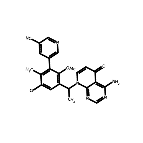 COc1c(C(C)n2ccc(=O)c3c(N)ncnc32)cc(Cl)c(C)c1-c1cncc(C#N)c1